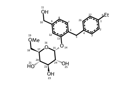 CCc1ccc(Cc2ccc(CO)cc2O[C@H]2O[C@H](COC)[C@@H](O)[C@H](O)[C@H]2O)cc1